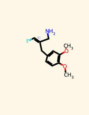 COc1ccc(C/C(=C\F)CN)cc1OC